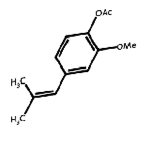 COc1cc(C=C(C)C)ccc1OC(C)=O